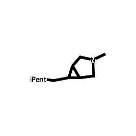 CCCC(C)CC1C2CN(C)CC12